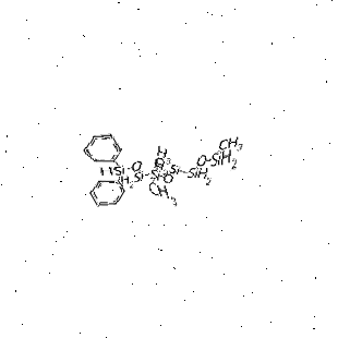 C[SiH2]O[SiH2][SiH2]O[Si](C)(C)[SiH2]O[SiH](c1ccccc1)c1ccccc1